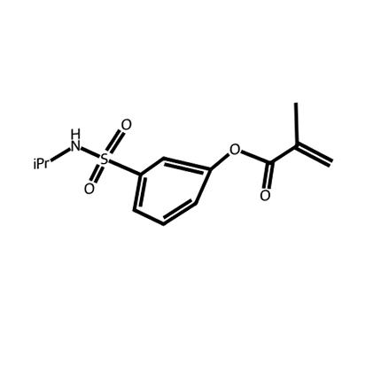 C=C(C)C(=O)Oc1cccc(S(=O)(=O)NC(C)C)c1